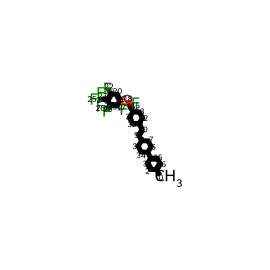 Cc1ccc(C2CCC(/C=C/C3CCC(C(F)(F)Oc4cc(F)c(C(F)(F)F)c(F)c4)CC3)CC2)cc1